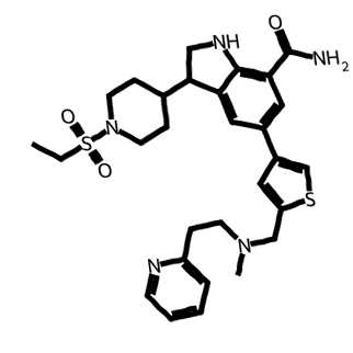 CCS(=O)(=O)N1CCC(C2CNc3c(C(N)=O)cc(-c4csc(CN(C)CCc5ccccn5)c4)cc32)CC1